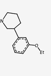 CCOc1cccc(C2CCCNC2)c1